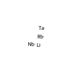 [Li].[Nb].[Rb].[Ta]